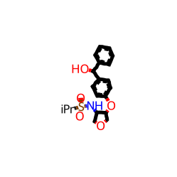 CC(C)S(=O)(=O)NC1COCC1Oc1ccc(C(O)c2ccccc2)cc1